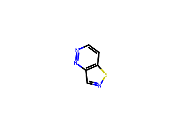 c1cc2sncc2nn1